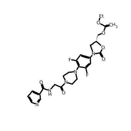 C=C(OCC)OC[C@H]1CN(c2cc(F)c(N3CCN(C(=O)CNC(=O)c4cccnc4)CC3)c(F)c2)C(=O)O1